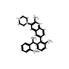 COc1ccccc1C(N)c1cccc(C)c1-c1ccc2nc(N)c(N3CCOCC3)cc2c1